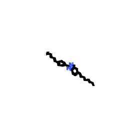 CCCCCCCCC1CCc2nc(-c3ccc(CCCCCC)cc3)ncc2C1